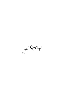 Cc1cc(C(O)(C(F)(F)F)C(F)(F)F)ccc1-c1cc(F)c(CN2CC3(C2)CN(S(C)(=O)=O)C3)cc1C(C)C